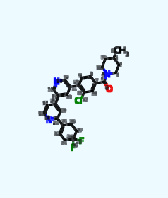 CC1CCN(C(=O)c2ccc(-c3cncc(-c4ccnc(C5=CCC(F)(F)CC5)c4)c3)c(Cl)c2)CC1